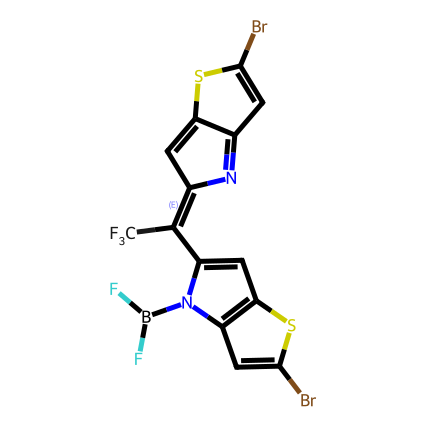 FB(F)n1c(/C(=C2/C=c3sc(Br)cc3=N2)C(F)(F)F)cc2sc(Br)cc21